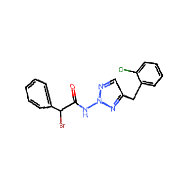 O=C(Nn1ncc(Cc2ccccc2Cl)n1)C(Br)c1ccccc1